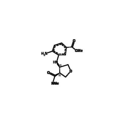 CNC(=O)[C@@H]1COC[C@@H]1Nc1cc(C(=O)OC)ccc1N